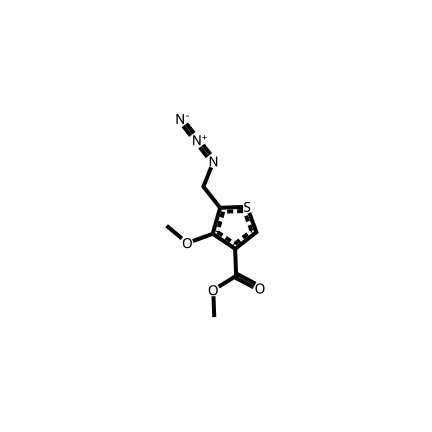 COC(=O)c1csc(CN=[N+]=[N-])c1OC